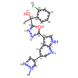 Cn1cc(-c2cnc3[nH]cc(-c4nnc(C(C)(O)c5ccccc5F)o4)c3c2)cn1